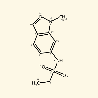 CCS(=O)(=O)Nc1ccc2cnn(C)c2c1